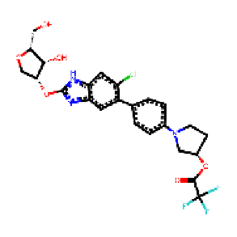 O=C(O[C@@H]1CCN(c2ccc(-c3cc4nc(O[C@@H]5CO[C@H](CO)[C@@H]5O)[nH]c4cc3Cl)cc2)C1)C(F)(F)F